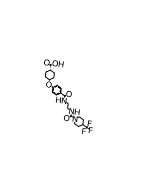 O=C(NCCNC(=O)N1CCC(C(F)(F)F)CC1)c1ccc(O[C@H]2CC[C@@H](C(=O)O)CC2)cc1